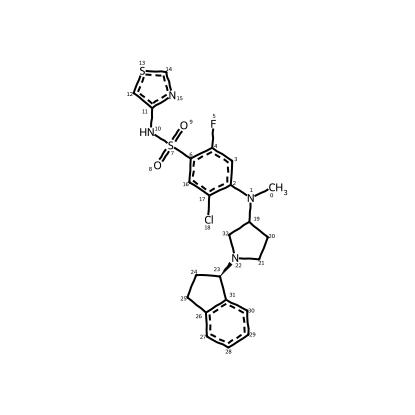 CN(c1cc(F)c(S(=O)(=O)Nc2cscn2)cc1Cl)C1CCN([C@@H]2CCc3ccccc32)C1